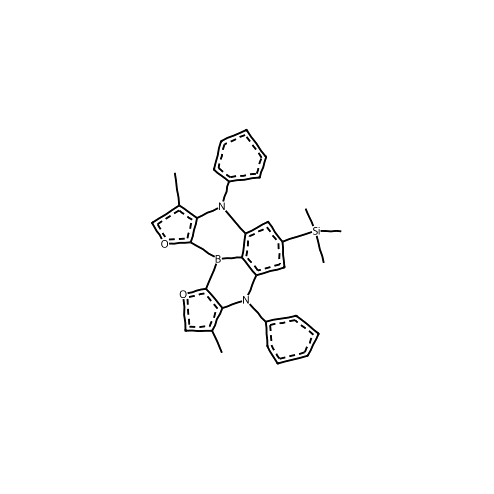 Cc1coc2c1N(c1ccccc1)c1cc([Si](C)(C)C)cc3c1B2c1occ(C)c1N3c1ccccc1